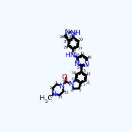 CN1CCN(C(=O)N2CCc3ccc(-c4nccc(Nc5ccc6[nH]ncc6c5)n4)cc32)CC1